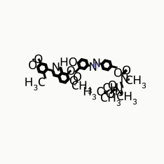 CCc1cc2c(cc1-c1cc3ccc(OC)c(OC(=O)c4cc(/N=N/c5ccc(COC(=O)N(C)CCN(C)C(=O)OC(C)(C)C)cc5)ccc4O)c3cn1)OCO2